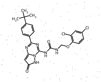 CC(C)(C)c1ccc(-c2nc(NC(=O)NCOc3ccc(Cl)cc3Cl)n3[nH]c(=O)cc3n2)cc1